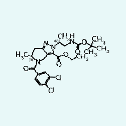 CCOC(=O)c1c2c(nn1[C@H](C)CNC(=O)OC(C)(C)C)C[C@@H](C)N(C(=O)c1ccc(Cl)c(Cl)c1)C2